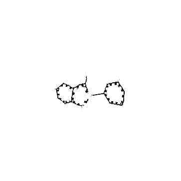 Brc1c2ccccc2nn1-c1ccccc1